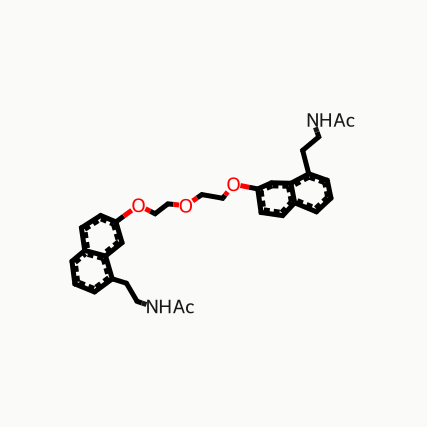 CC(=O)NCCc1cccc2ccc(OCCOCCOc3ccc4cccc(CCNC(C)=O)c4c3)cc12